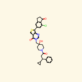 O=C1CCc2cc(-c3scc4c(=O)n(CC5(O)CCN(C(=O)CC(c6ccccc6)C6CC6)CC5)cnc34)cc(Cl)c21